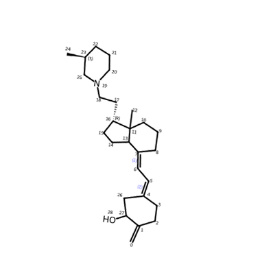 C=C1CC/C(=C/C=C2\CCCC3(C)C2CC[C@@H]3CCN2CCC[C@H](C)C2)CC1O